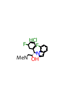 CNCC(O)[C@H](C1=CC=CC(F)C1)n1ccc2cccc(F)c21.Cl